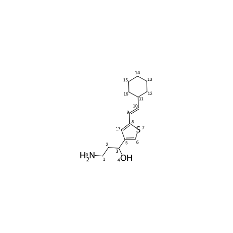 NCCC(O)c1csc(C=CC2CCCCC2)c1